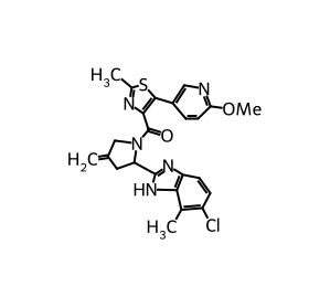 C=C1CC(c2nc3ccc(Cl)c(C)c3[nH]2)N(C(=O)c2nc(C)sc2-c2ccc(OC)nc2)C1